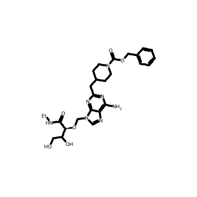 CCNC(=O)[C@@H](OCn1cnc2c(N)nc(CC3CCN(C(=O)OCc4ccccc4)CC3)nc21)C(O)CO